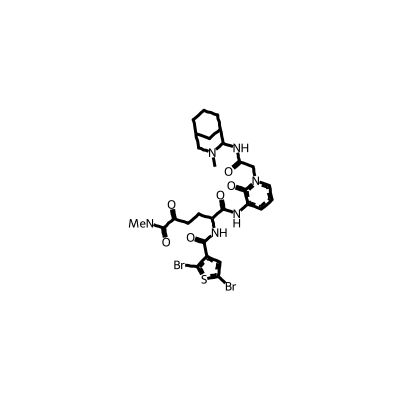 CNC(=O)C(=O)CCC(NC(=O)c1cc(Br)sc1Br)C(=O)Nc1cccn(CC(=O)NC2C3CCCC(C3)CN2C)c1=O